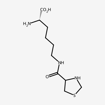 N[C@@H](CCCCNC(=O)C1CSCN1)C(=O)O